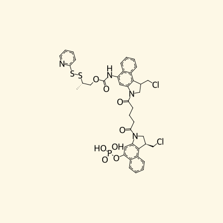 C[C@@H](COC(=O)Nc1cc2c(c3ccccc13)C(CCl)CN2C(=O)CCCC(=O)N1C[C@@H](CCl)c2c1cc(OP(=O)(O)O)c1ccccc21)SSc1ccccn1